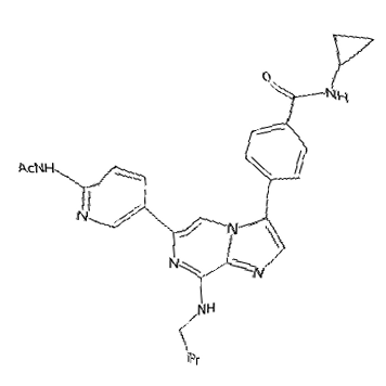 CC(=O)Nc1ccc(-c2cn3c(-c4ccc(C(=O)NC5CC5)cc4)cnc3c(NCC(C)C)n2)cn1